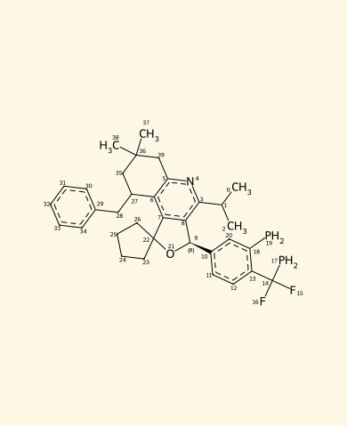 CC(C)c1nc2c(c3c1[C@@H](c1ccc(C(F)(F)P)c(P)c1)OC31CCCC1)C(Cc1ccccc1)CC(C)(C)C2